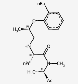 CCCCc1ccccc1O[C@H](C)CN[C@@H](CCC)C(=O)N(C)[C@H](C)C(C)=O